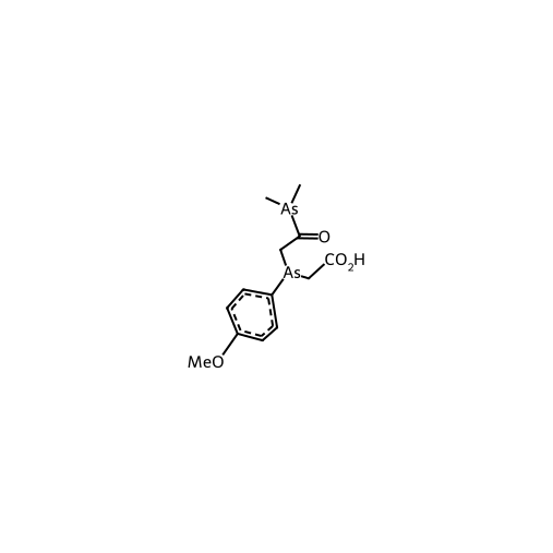 COc1ccc([As](CC(=O)O)CC(=O)[As](C)C)cc1